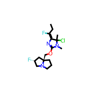 CC/C(F)=C1/N=C(OC[C@@]23CCCN2C[C@H](F)C3)N(C)C1(C)Cl